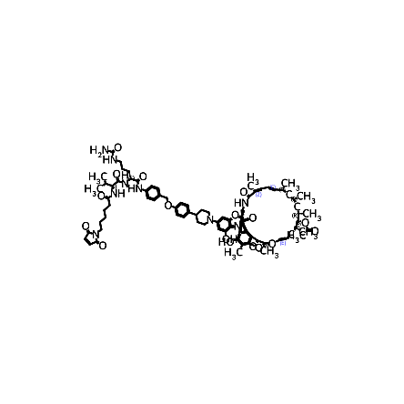 CC(=O)O[C@@H]1[C@H](C)C/C=C/O[C@@]2(C)Oc3c(C)c(O)c4c(=O)c(c5oc6cc(N7CCC(c8ccc(OCc9ccc(NC(=O)[C@H](CCCNC(N)=O)NC(=O)[C@@H](NC(=O)CCCCCN%10C(=O)C=CC%10=O)C(C)C)cc9)cc8)CC7)cc(O)c6nc-5c4c3C2=O)NC(=O)/C(C)=C\C=C\[C@H](C)C[C@@H](C)C[C@H]1C